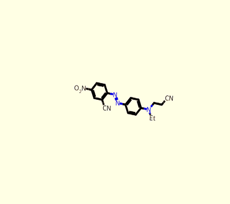 CCN(CCC#N)c1ccc(N=Nc2ccc([N+](=O)[O-])cc2C#N)cc1